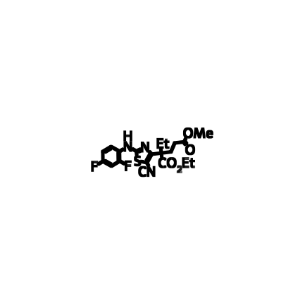 CCOC(=O)C(CC)(CCC(=O)OC)c1nc(Nc2ccc(F)cc2F)sc1C#N